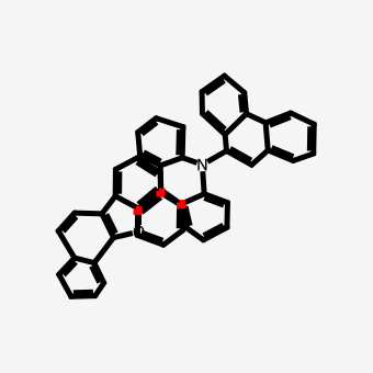 c1ccc(-c2ccccc2N(c2ccccc2-c2cccc3c2oc2c4ccccc4ccc32)c2cc3ccccc3c3ccccc23)cc1